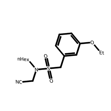 CCCCCCN(CC#N)S(=O)(=O)Cc1cccc(OCC)c1